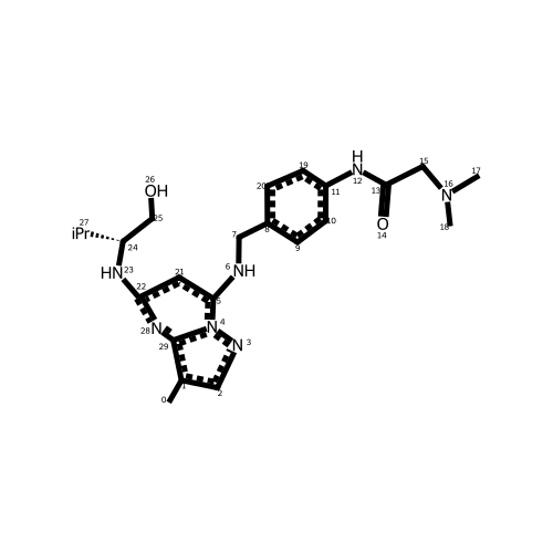 Cc1cnn2c(NCc3ccc(NC(=O)CN(C)C)cc3)cc(N[C@@H](CO)C(C)C)nc12